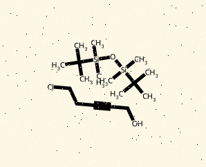 CC(C)(C)[Si](C)(C)O[Si](C)(C)C(C)(C)C.OCC#CCCCl